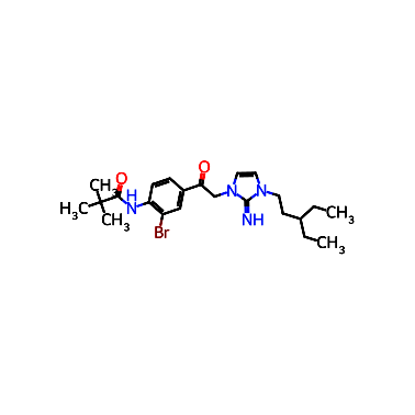 CCC(CC)CCn1ccn(CC(=O)c2ccc(NC(=O)C(C)(C)C)c(Br)c2)c1=N